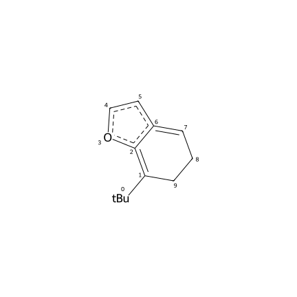 CC(C)(C)C1=c2occc2=CCC1